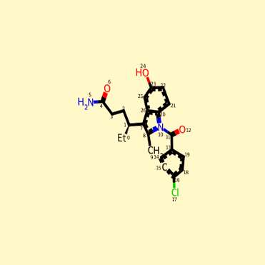 CC[C@@H](CCC(N)=O)c1c(C)n(C(=O)c2ccc(Cl)cc2)c2ccc(O)cc12